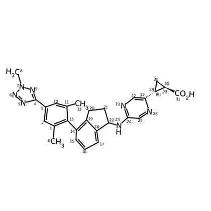 Cc1cc(-c2nnn(C)n2)cc(C)c1-c1cccc2c1CCC2Nc1cnc([C@@H]2C[C@H]2C(=O)O)cn1